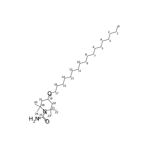 CCCCCCCCCCCCCCCCCCOC1CC(C)(C)N(C(N)=O)C(C)(C)C1